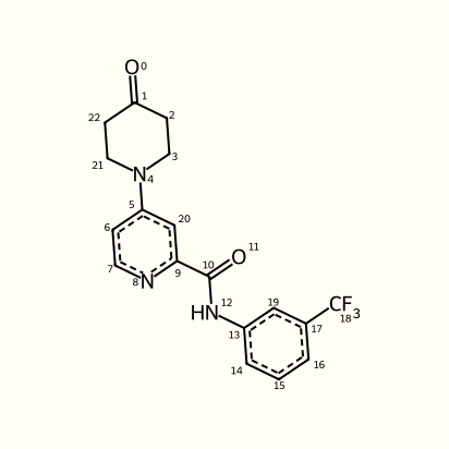 O=C1CCN(c2ccnc(C(=O)Nc3cccc(C(F)(F)F)c3)c2)CC1